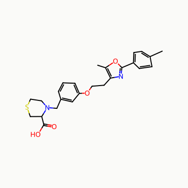 Cc1ccc(-c2nc(CCOc3cccc(CN4CCSCC4C(=O)O)c3)c(C)o2)cc1